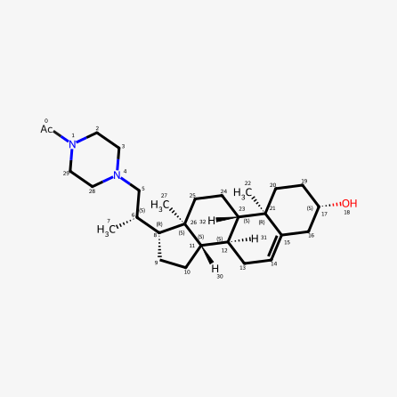 CC(=O)N1CCN(C[C@@H](C)[C@H]2CC[C@H]3[C@@H]4CC=C5C[C@@H](O)CC[C@]5(C)[C@H]4CC[C@]23C)CC1